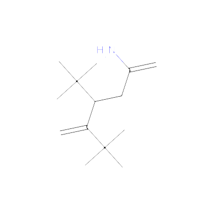 C=C(N)CC(C(=C)C(C)(C)C)C(C)(C)C